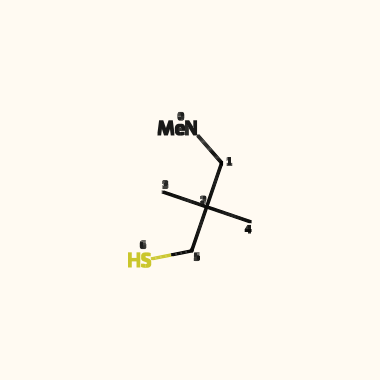 CNCC(C)(C)CS